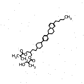 C=C(C)C(=O)OCC(CCC1CCC(c2ccc(C3CCC4C=C(CCCCC)C=CC4C3)cc2)CC1)COC(=O)C(=C)CO